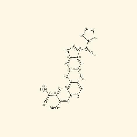 COc1cc2nccc(Oc3cc4occ(C(=O)N5CCCC5)c4cc3Cl)c2cc1C(N)=O